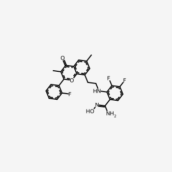 Cc1cc(CCNc2c(C(N)=NO)ccc(F)c2F)c2oc(-c3ccccc3F)c(C)c(=O)c2c1